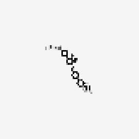 CCCCCC1CCC(C2CC[C@H](CCC3CCC(C4CCC(C)C(F)C4)CC3)C(F)C2F)CC1